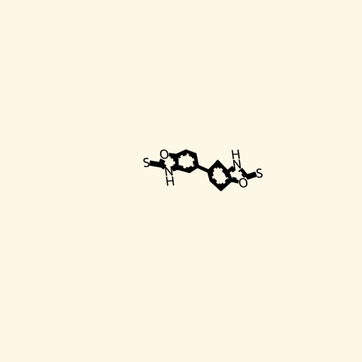 S=c1[nH]c2cc(-c3ccc4oc(=S)[nH]c4c3)ccc2o1